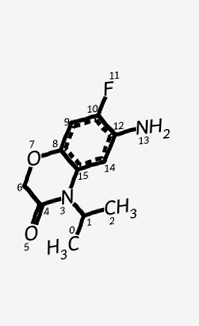 CC(C)N1C(=O)COc2cc(F)c(N)cc21